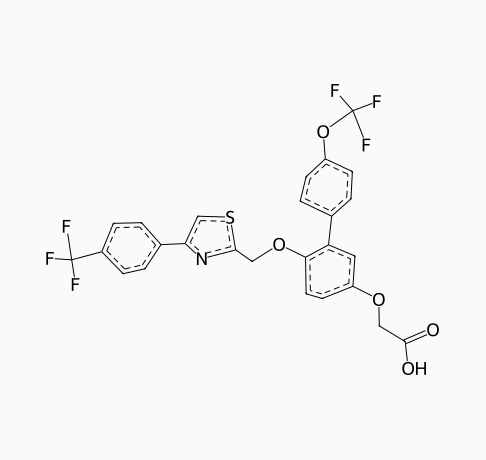 O=C(O)COc1ccc(OCc2nc(-c3ccc(C(F)(F)F)cc3)cs2)c(-c2ccc(OC(F)(F)F)cc2)c1